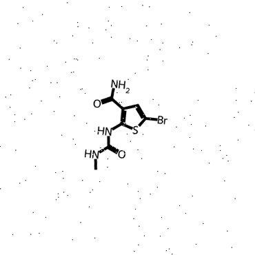 CNC(=O)Nc1sc(Br)cc1C(N)=O